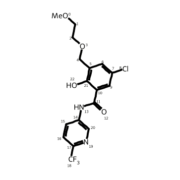 COCCOCc1cc(Cl)cc(C(=O)Nc2ccc(C(F)(F)F)nc2)c1O